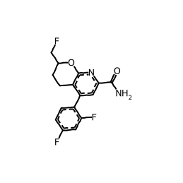 NC(=O)c1cc(-c2ccc(F)cc2F)c2c(n1)OC(CF)CC2